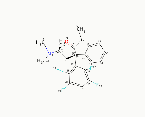 CCC(=O)[C@](C[C@H](C)N(C)C)(c1ccccc1)c1c(F)c(F)cc(F)c1F